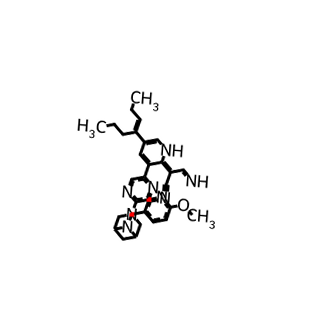 CC/C=C(\CCC)C1=CN/C(=C(/C#N)C=N)C(c2cnc(N3CC4CC(C3)N4Cc3ccc(OC)nc3)cn2)=C1